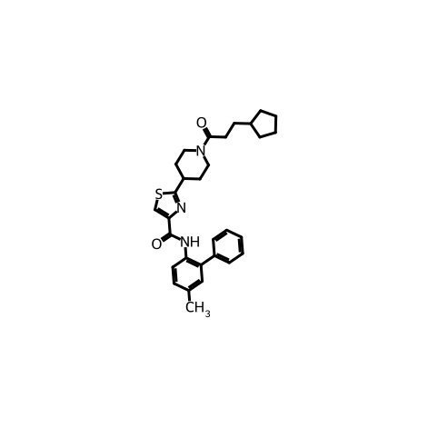 Cc1ccc(NC(=O)c2csc(C3CCN(C(=O)CCC4CCCC4)CC3)n2)c(-c2ccccc2)c1